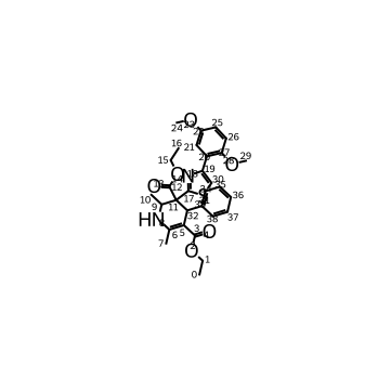 CCOC(=O)C1=C(C)NC(C)C(C(=O)OCC)(c2nc(-c3cc(OC)ccc3OC)cs2)C1c1ccccc1